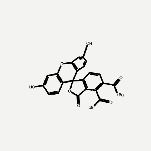 CC(C)(C)C(=O)c1ccc2c(c1C(=O)C(C)(C)C)C(=O)OC21c2ccc(O)cc2Oc2cc(O)ccc21